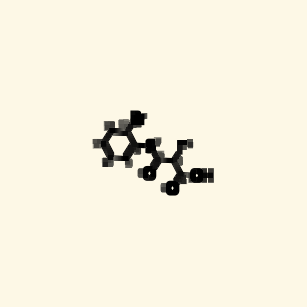 O=C(O)C(F)C(=O)Sc1ccccc1Br